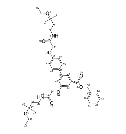 CCOC(C)(C)CCNC(=O)COc1ccc(-c2cc(OCC(=O)NCCC(C)(C)OCC)cc(C(=O)OCc3ccccc3)c2)cc1